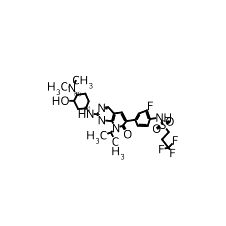 CC(C)n1c(=O)c(-c2ccc(NS(=O)(=O)CCC(F)(F)F)c(F)c2)cc2cnc(N[C@@H]3CC[C@@H](N(C)C)C(O)C3)nc21